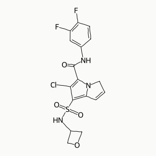 O=C(Nc1ccc(F)c(F)c1)c1c(Cl)c(S(=O)(=O)NC2COC2)c2n1CC=C2